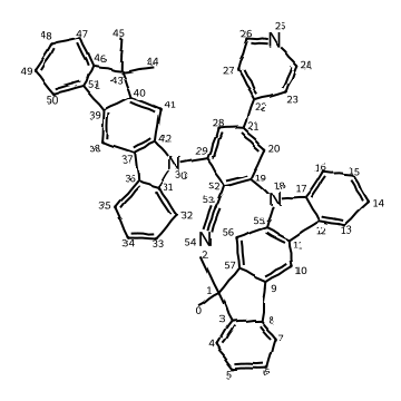 CC1(C)c2ccccc2-c2cc3c4ccccc4n(-c4cc(-c5ccncc5)cc(-n5c6ccccc6c6cc7c(cc65)C(C)(C)c5ccccc5-7)c4C#N)c3cc21